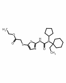 CCOC(=O)CSc1cnc(NC(=O)N(C2CCCC2)C2(CC)CCCCC2)s1